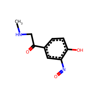 CNCC(=O)c1ccc(O)c(N=O)c1